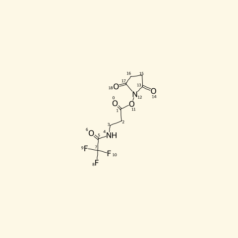 O=C(CCNC(=O)C(F)(F)F)ON1C(=O)CCC1=O